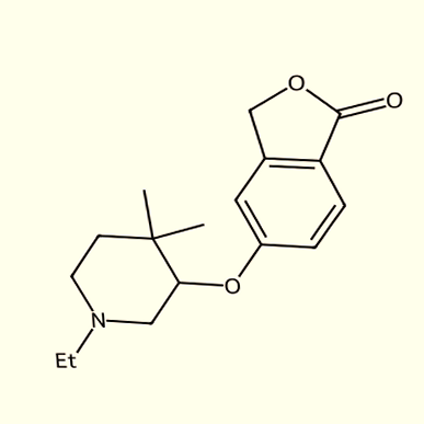 CCN1CCC(C)(C)C(Oc2ccc3c(c2)COC3=O)C1